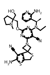 CCN(c1nc(OC[C@]2(CO)CCCN2C)nc(N2CC3(C2)SCc2sc(N)c(C#N)c23)c1C#N)[C@H](C)c1cccnc1N